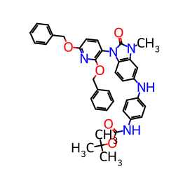 Cn1c(=O)n(-c2ccc(OCc3ccccc3)nc2OCc2ccccc2)c2ccc(Nc3ccc(NC(=O)OC(C)(C)C)cc3)cc21